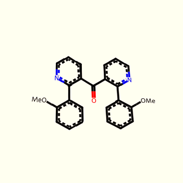 COc1ccccc1-c1ncccc1C(=O)c1cccnc1-c1ccccc1OC